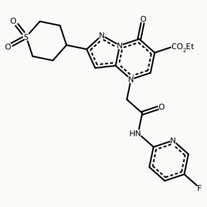 CCOC(=O)c1cn(CC(=O)Nc2ccc(F)cn2)c2cc(C3CCS(=O)(=O)CC3)nn2c1=O